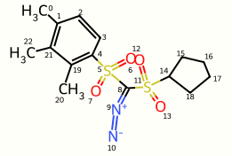 Cc1ccc(S(=O)(=O)C(=[N+]=[N-])S(=O)(=O)C2CCCC2)c(C)c1C